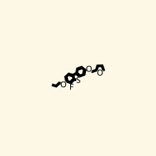 CCCOc1ccc2c(sc3cc(OCC4CCCO4)ccc32)c1F